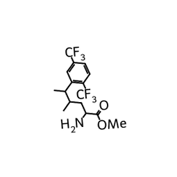 COC(=O)C(N)CC(C)C(C)c1cc(C(F)(F)F)ccc1C(F)(F)F